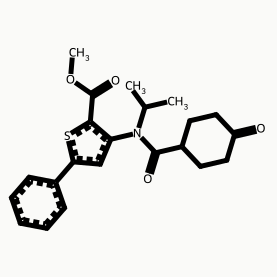 COC(=O)c1sc(-c2ccccc2)cc1N(C(=O)C1CCC(=O)CC1)C(C)C